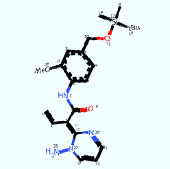 C=C/C(C(=O)Nc1ccc(CO[Si](C)(C)C(C)(C)C)cc1OC)=C1/N=CC=CN1N